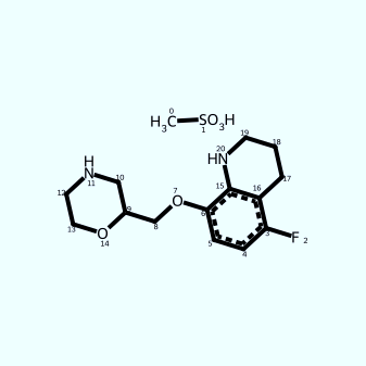 CS(=O)(=O)O.Fc1ccc(OCC2CNCCO2)c2c1CCCN2